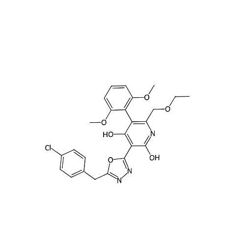 CCOCc1nc(O)c(-c2nnc(Cc3ccc(Cl)cc3)o2)c(O)c1-c1c(OC)cccc1OC